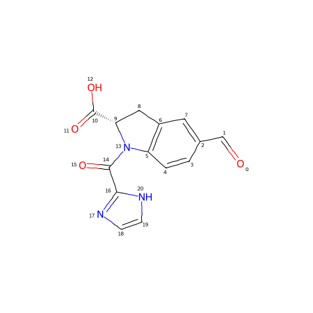 O=Cc1ccc2c(c1)C[C@@H](C(=O)O)N2C(=O)c1ncc[nH]1